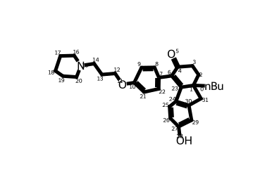 CCCCC12CCC(=O)C(c3ccc(OCCCN4CCCCC4)cc3)=C1c1ccc(O)cc1C2